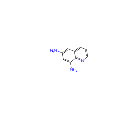 Nc1cc(N)c2ncccc2c1